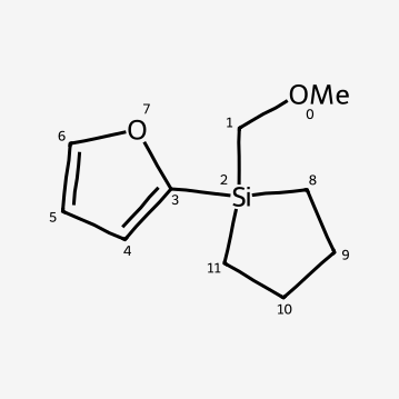 COC[Si]1(c2ccco2)CCCC1